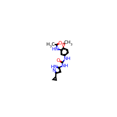 COc1ccc(NC(=O)Nc2cc(C3CC3)n[nH]2)cc1NC(C)=O